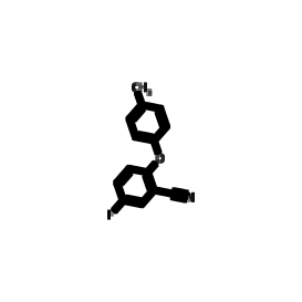 Cc1ccc(Oc2ccc(F)cc2C#N)cc1